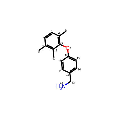 Cc1ccc(C)c(Oc2ccc(CN)cc2)c1C